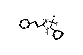 O=C(/C=C/c1ccccc1)NC(c1ccccc1)C(F)(F)F